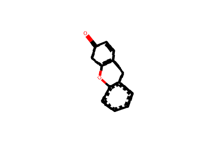 O=C1C=CC2=C(C1)Oc1ccccc1C2